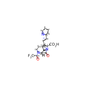 O=C(O)C1=C(/C=C/c2ccccn2)C2CCN(C(=O)C(F)(F)F)[C@@H]3C(=O)N1[C@H]23